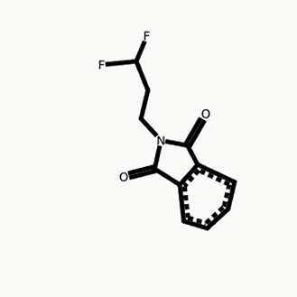 O=C1c2ccccc2C(=O)N1CCC(F)F